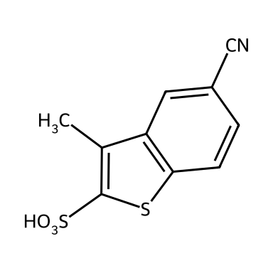 Cc1c(S(=O)(=O)O)sc2ccc(C#N)cc12